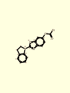 CCC(=O)Oc1ccc2nc(N3CCc4ccccc43)oc2c1